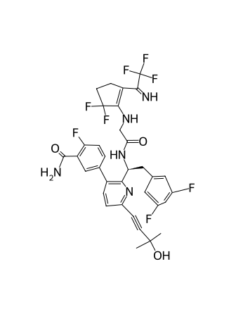 CC(C)(O)C#Cc1ccc(-c2ccc(F)c(C(N)=O)c2)c([C@H](Cc2cc(F)cc(F)c2)NC(=O)CNC2=C(C(=N)C(F)(F)F)CCC2(F)F)n1